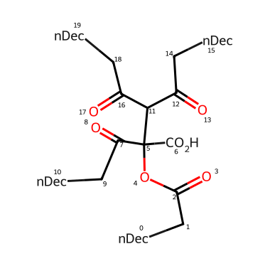 CCCCCCCCCCCC(=O)OC(C(=O)O)(C(=O)CCCCCCCCCCC)C(C(=O)CCCCCCCCCCC)C(=O)CCCCCCCCCCC